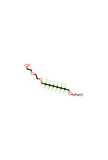 CCCCCOCC(F)(F)C(F)(F)C(F)(F)C(F)(F)C(F)(F)C(F)(F)COCCOCCO